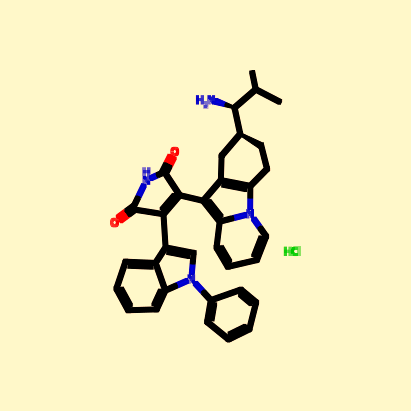 CC(C)[C@H](N)[C@H]1CCc2c(c(C3=C(c4cn(-c5ccccc5)c5ccccc45)C(=O)NC3=O)c3ccccn23)C1.Cl